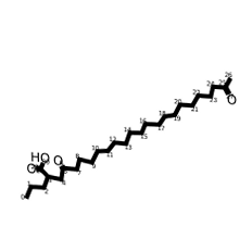 CCCC(CC(=O)CCCCCCCCCCCCCCCCCCC(C)=O)C(=O)O